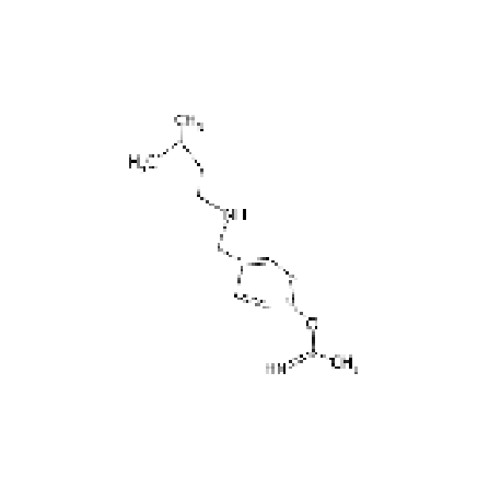 CC(=N)Oc1ccc(CNCCC(C)C)cc1